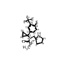 COC(=O)N(C[C@]1(C)CCCN1)C1(c2ccc(F)c(C(F)(F)F)c2)CC1